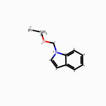 CC(C)[SiH2]OCn1ccc2ccccc21